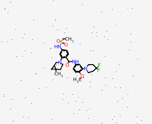 CCS(=O)(=O)Nc1ccc(C(=O)Nc2ccc(OC)c(N3CCC(F)(F)CC3)c2)c(N2CCC3(C)CC3C2)c1